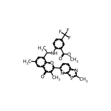 COC(=O)c1cc(C(F)(F)F)ccc1N[C@H](C)c1cc(C)cc2c(=O)c(C)c(-c3ccc4nc(C)sc4n3)oc12